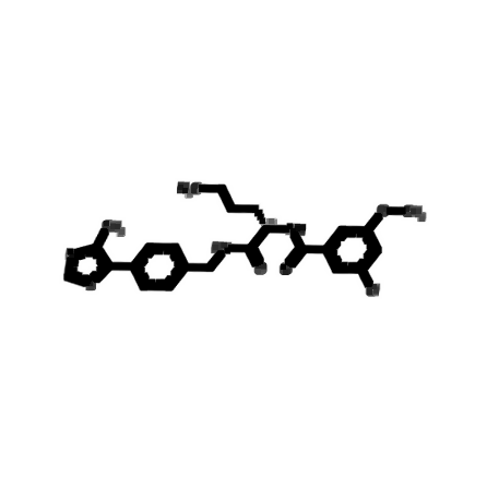 CCCC[C@H](NC(=O)c1cc(Cl)cc(OC)c1)C(=O)NCc1ccc(-c2scnc2C)cc1